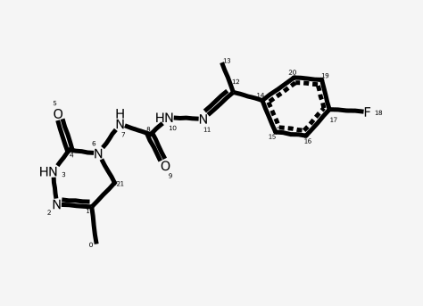 CC1=NNC(=O)N(NC(=O)N/N=C(\C)c2ccc(F)cc2)C1